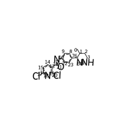 CC1CCNN=C1c1ccc2nc(-c3ccc(Cl)nc3Cl)oc2c1